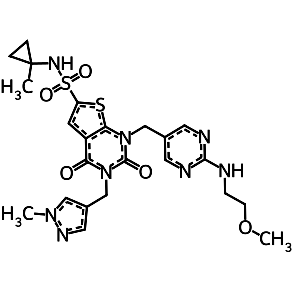 COCCNc1ncc(Cn2c(=O)n(Cc3cnn(C)c3)c(=O)c3cc(S(=O)(=O)NC4(C)CC4)sc32)cn1